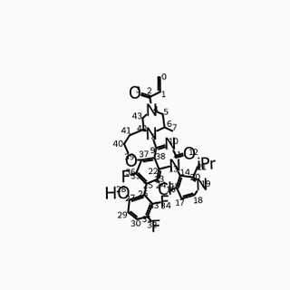 C=CC(=O)N1CC(C)N2c3nc(=O)n(-c4c(C)ccnc4C(C)C)c4c(Cl)c(-c5c(O)ccc(F)c5F)c(F)c(c34)OCCC2C1